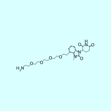 Cn1c(=O)n(C2CCC(=O)NC2=O)c2cccc(CCOCCOCCOCCOCCN)c21